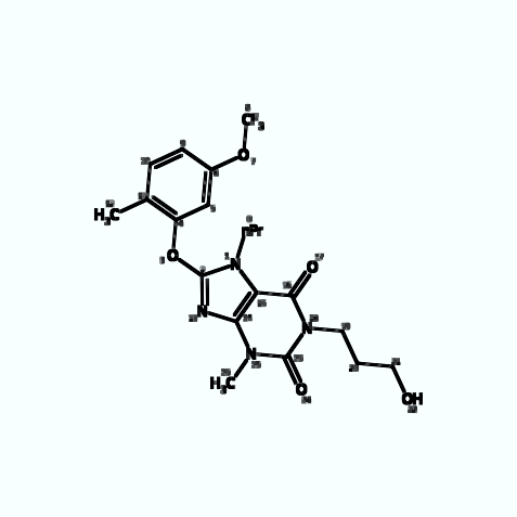 CCCn1c(Oc2cc(OC(F)(F)F)ccc2C)nc2c1c(=O)n(CCCO)c(=O)n2C